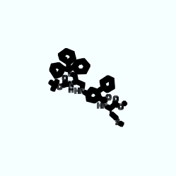 COC(=O)[C@H](CCSC)NC(=O)c1ccc(NCC(CSC(c2ccccc2)(c2ccccc2)c2ccccc2)NC(=O)OC(C)(C)C)cc1-c1ccccc1